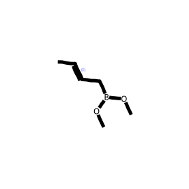 C/C=C/CB(OC)OC